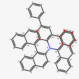 c1ccc(-c2ccc(N(c3ccc4ccccc4c3-c3cccc4ccccc34)c3c4ccccc4cc4ccccc34)c(-c3ccccc3)c2)cc1